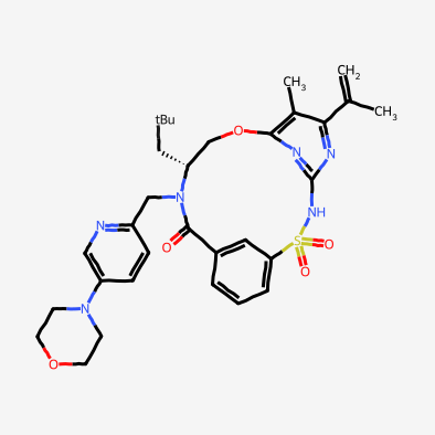 C=C(C)c1nc2nc(c1C)OC[C@@H](CC(C)(C)C)N(Cc1ccc(N3CCOCC3)cn1)C(=O)c1cccc(c1)S(=O)(=O)N2